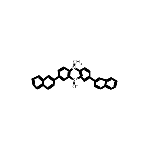 CN1c2ccc(-c3ccc4ccccc4c3)cc2[S+]([O-])c2cc(-c3ccc4ccccc4c3)ccc21